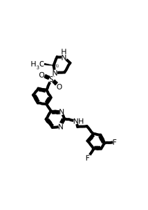 C[C@H]1CNCCN1S(=O)(=O)c1cccc(-c2ccnc(NCCc3cc(F)cc(F)c3)n2)c1